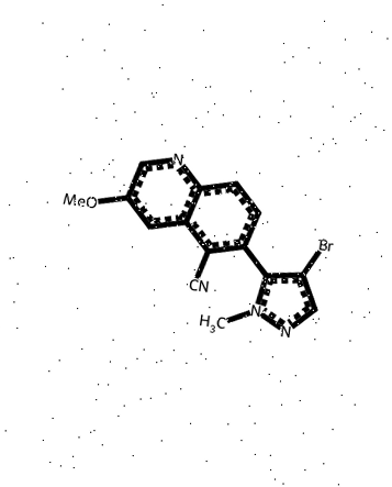 COc1cnc2ccc(-c3c(Br)cnn3C)c(C#N)c2c1